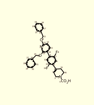 O=C(O)N1CC=C(c2cc(F)c(-c3ccc(OCc4ccccc4)nc3OCc3ccccc3)cc2F)CC1